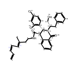 C=C/C=C\C=C(/C)CCNC(=O)[C@@H]1c2ccccc2C(=O)N([C@H](CO)Cc2ccccc2)[C@H]1c1ccc(Cl)cc1Cl